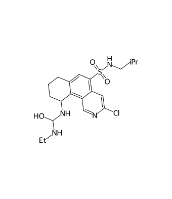 CCNC(O)NC1CCCc2cc(S(=O)(=O)NCC(C)C)c3cc(Cl)ncc3c21